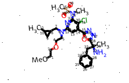 COCCOCCN(CC1CC1C)c1cc(-c2nnc([C@](C)(N)Cc3ccccc3)o2)c(Cl)c(N(C)S(C)(=O)=O)n1